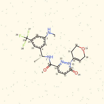 CNc1cc([C@@H](C)NC(=O)c2ccc(=O)n(C3=CCOCC3)n2)cc(C(F)(F)F)c1